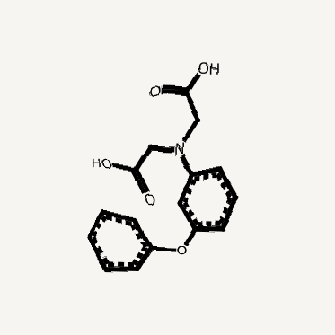 O=C(O)CN(CC(=O)O)c1cccc(Oc2ccccc2)c1